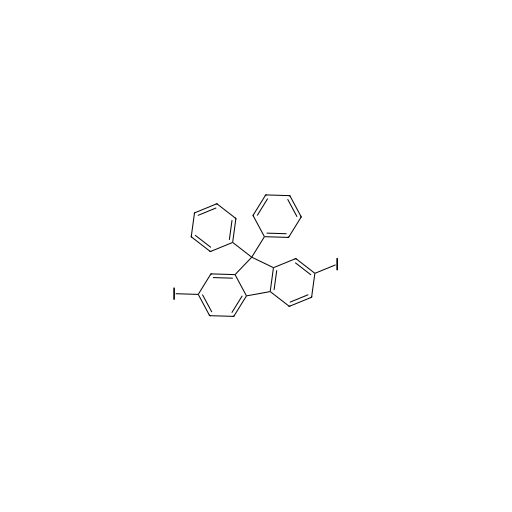 Ic1ccc2c(c1)C(c1ccccc1)(c1ccccc1)c1cc(I)ccc1-2